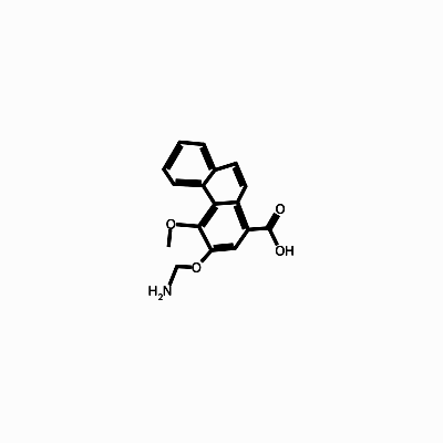 COc1c(OCN)cc(C(=O)O)c2ccc3ccccc3c12